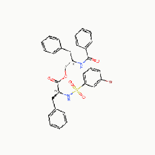 O=C(N[C@H](COC(=O)[C@H](Cc1ccccc1)NS(=O)(=O)c1cccc(Br)c1)Cc1ccccc1)c1ccccc1